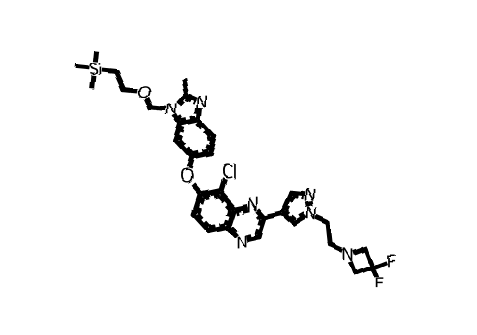 Cc1nc2ccc(Oc3ccc4ncc(-c5cnn(CCN6CC(F)(F)C6)c5)nc4c3Cl)cc2n1COCC[Si](C)(C)C